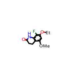 CCOc1cc(OC)c2c(c1F)NC(=O)CC2